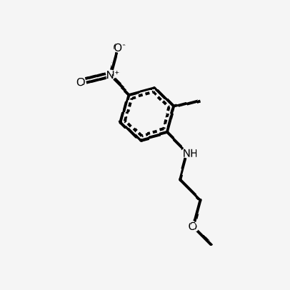 COCCNc1ccc([N+](=O)[O-])cc1C